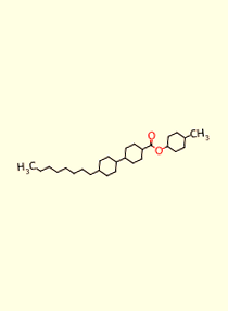 CCCCCCCCC1CCC(C2CCC(C(=O)OC3CCC(C)CC3)CC2)CC1